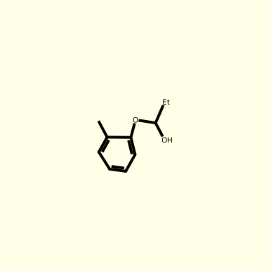 CCC(O)Oc1ccccc1C